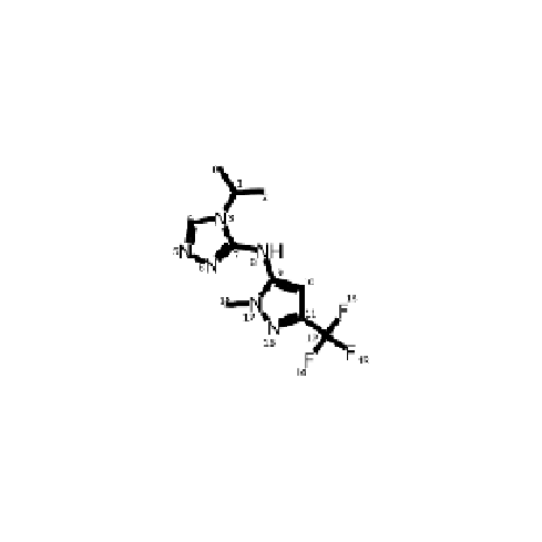 CC(C)n1cnnc1Nc1cc(C(F)(F)F)nn1C